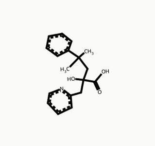 CC(C)(CC(O)(Cc1ccccn1)C(=O)O)c1ccccc1